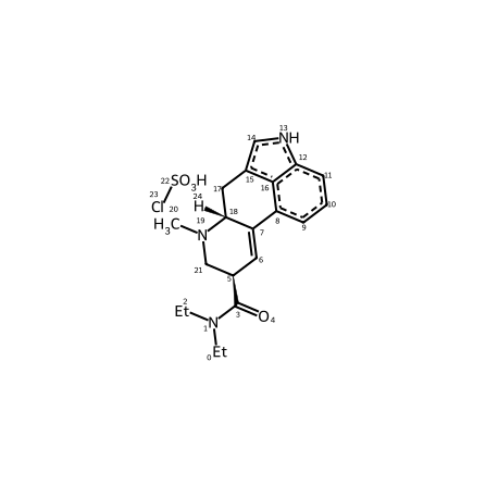 CCN(CC)C(=O)[C@@H]1C=C2c3cccc4[nH]cc(c34)C[C@H]2N(C)C1.O=S(=O)(O)Cl